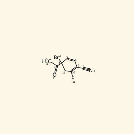 CC(=O)C1(Br)C=CC(C#N)=C(F)C1